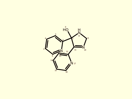 OC1(c2ccccn2)NCN=C1c1ccccn1